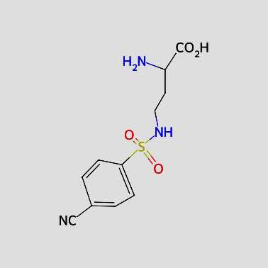 N#Cc1ccc(S(=O)(=O)NCCC(N)C(=O)O)cc1